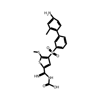 CSc1sc(C(=N)NC(=O)O)cc1S(=O)(=O)c1cccc(-c2ccc(N)cc2C)c1